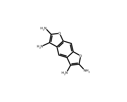 Nc1oc2cc3oc(N)c(N)c3cc2c1N